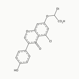 CCC(Oc1cc(Cl)c2c(=O)c(-c3ccc(O)cc3)coc2c1)C(=O)O